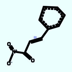 O=C(/C=C/c1ccccc1)[N+](=O)[O-]